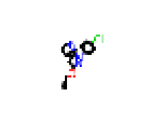 C#CCOC1=NN(c2ccc(Cl)cc2)C2(C1)CN1CCC2CC1